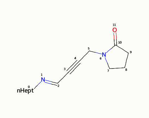 CCCCCCCN=CC#CCN1CCCC1=O